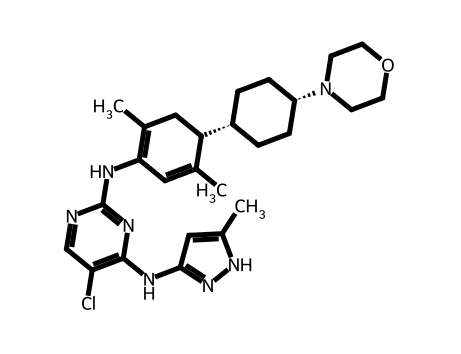 CC1=CC(Nc2ncc(Cl)c(Nc3cc(C)[nH]n3)n2)=C(C)CC1[C@H]1CC[C@@H](N2CCOCC2)CC1